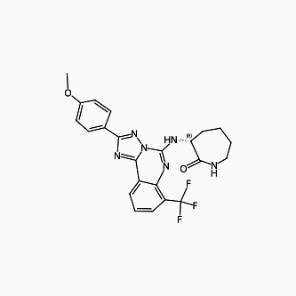 COc1ccc(-c2nc3c4cccc(C(F)(F)F)c4nc(N[C@@H]4CCCCNC4=O)n3n2)cc1